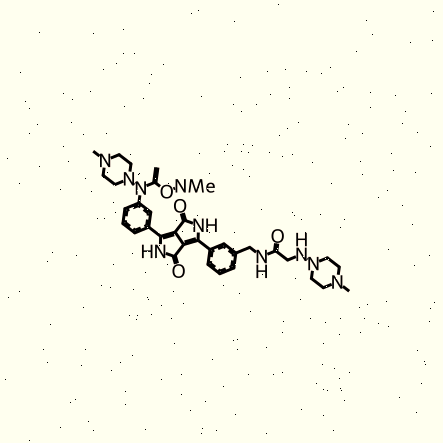 C=C(ONC)N(c1cccc(C2=C3C(=O)NC(c4cccc(CNC(=O)CNN5CCN(C)CC5)c4)=C3C(=O)N2)c1)N1CCN(C)CC1